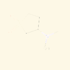 CCCN(C)C1CCS(=O)(=O)C1